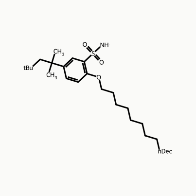 CCCCCCCCCCCCCCCCCCOc1ccc(C(C)(C)CC(C)(C)C)cc1S([NH])(=O)=O